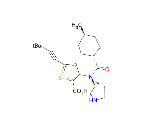 CC(C)(C)C#Cc1cc(N(C(=O)[C@H]2CC[C@H](C)CC2)[C@H]2CCNC2)c(C(=O)O)s1